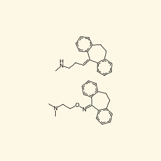 CN(C)CCON=C1c2ccccc2CCc2ccccc21.CNCCC=C1c2ccccc2CCc2ccccc21